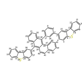 c1cc(-c2ccc3sc4ccccc4c3c2)cc(-c2c3ccccc3c(-c3ccc4sc5ccccc5c4c3)c3ccc4ccccc4c23)c1